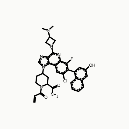 C=CC(=O)N1CCC(n2cnc3c(N4CC(N(C)C)C4)nc4c(F)c(-c5cc(O)cc6ccccc56)c(Cl)cc4c32)CC1C(N)=O